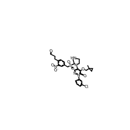 CC1(COc2c(N3CCNCC3S(=O)(=O)Cc3ccc(CCC=O)c([N+](=O)[O-])c3)cnn(-c3cccc(Cl)c3)c2=O)CC1